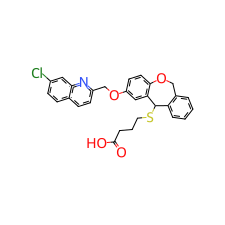 O=C(O)CCCSC1c2ccccc2COc2ccc(OCc3ccc4ccc(Cl)cc4n3)cc21